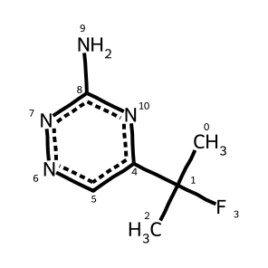 CC(C)(F)c1cnnc(N)n1